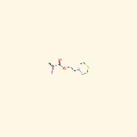 C=C(I)C(=O)OCCN1CCSCC1